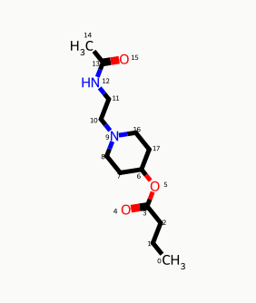 CCCC(=O)OC1CCN(CCNC(C)=O)CC1